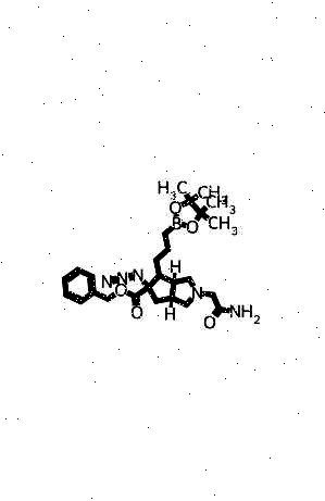 CC1(C)OB(CCCC2[C@@H]3CN(CC(N)=O)C[C@@H]3CC2(N=[N+]=[N-])C(=O)OCc2ccccc2)OC1(C)C